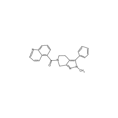 Cn1nc2c(c1-c1ccccc1)CCN(C(=O)c1cccc3ncccc13)C2